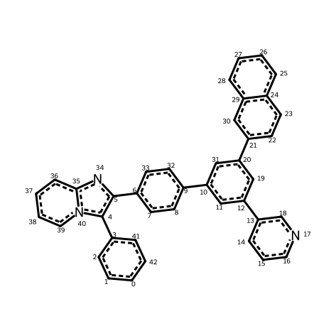 c1ccc(-c2c(-c3ccc(-c4cc(-c5cccnc5)cc(-c5ccc6ccccc6c5)c4)cc3)nc3ccccn23)cc1